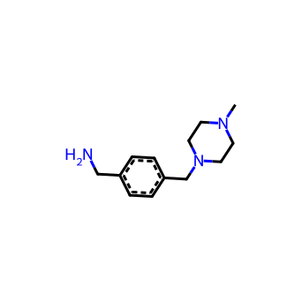 CN1CCN(Cc2ccc(CN)cc2)CC1